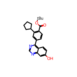 CC(C)(C)OC(=O)c1ccc(-c2ncnc3cc(O)ccc23)cc1C1CCCC1